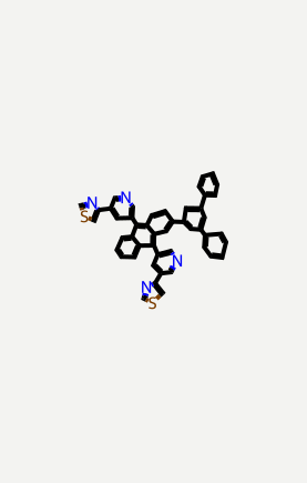 c1ccc(-c2cc(-c3ccccc3)cc(-c3ccc4c(-c5cncc(-c6cscn6)c5)c5ccccc5c(-c5cncc(-c6cscn6)c5)c4c3)c2)cc1